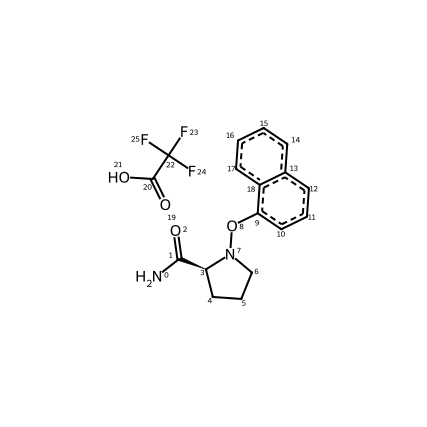 NC(=O)[C@@H]1CCCN1Oc1cccc2ccccc12.O=C(O)C(F)(F)F